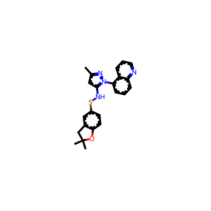 Cc1cc(NSc2ccc3c(c2)CC(C)(C)O3)n(-c2cccc3ncccc23)n1